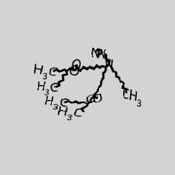 CCCCCCCCCCN(CCCn1ccnc1)C(CCCCCCCCC(=O)OCC(CCCC)CCCCCC)CCCCCCCCC(=O)OCC(CCCC)CCCCCC